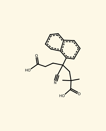 CC(C)(CC(C#N)(CCC(=O)O)c1cccc2ccccc12)C(=O)O